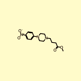 COC(=O)CCCN1CCN(c2ccc([N+](=O)[O-])cc2)CC1